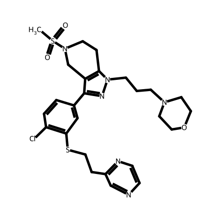 CS(=O)(=O)N1CCc2c(c(-c3ccc(Cl)c(SCCc4cnccn4)c3)nn2CCCN2CCOCC2)C1